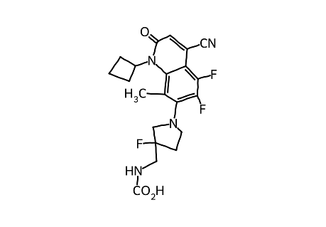 Cc1c(N2CCC(F)(CNC(=O)O)C2)c(F)c(F)c2c(C#N)cc(=O)n(C3CCC3)c12